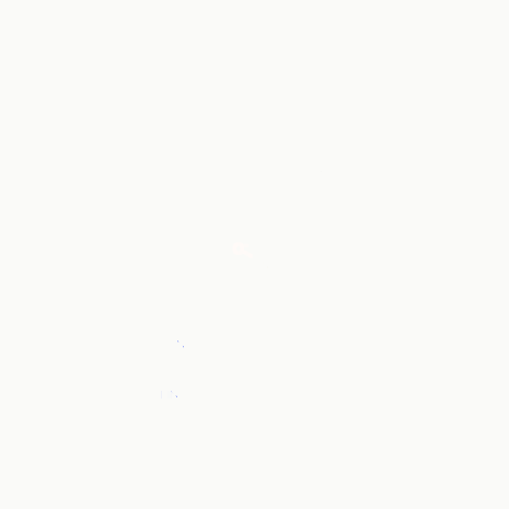 [O-][S+](CCCc1ccccc1)CCCc1c[nH]cn1